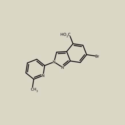 Cc1cccc(-n2cc3c(C(=O)O)cc(Br)cc3n2)n1